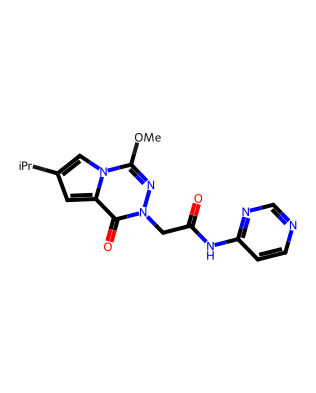 COc1nn(CC(=O)Nc2ccncn2)c(=O)c2cc(C(C)C)cn12